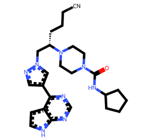 N#CCCC[C@@H](Cn1cc(-c2ncnc3[nH]ccc23)cn1)N1CCN(C(=O)NC2CCCC2)CC1